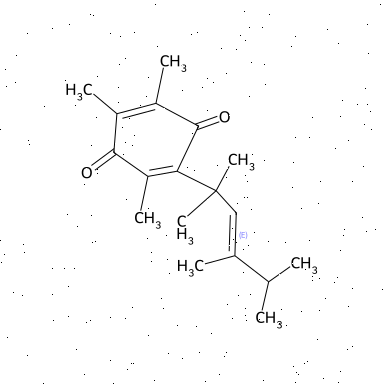 CC1=C(C)C(=O)C(C(C)(C)/C=C(\C)C(C)C)=C(C)C1=O